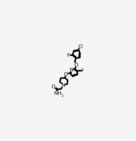 NC(=O)CN1CCC(Oc2ccc(F)c(OCc3ccc(Cl)cc3F)n2)CC1